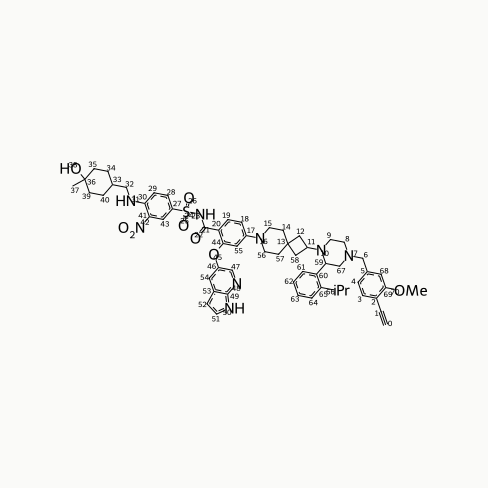 C#Cc1ccc(CN2CCN(C3CC4(CCN(c5ccc(C(=O)NS(=O)(=O)c6ccc(NCC7CCC(C)(O)CC7)c([N+](=O)[O-])c6)c(Oc6cnc7[nH]ccc7c6)c5)CC4)C3)C(c3ccccc3C(C)C)C2)cc1OC